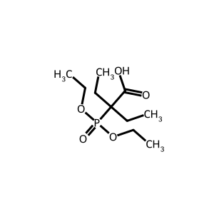 CCOP(=O)(OCC)C(CC)(CC)C(=O)O